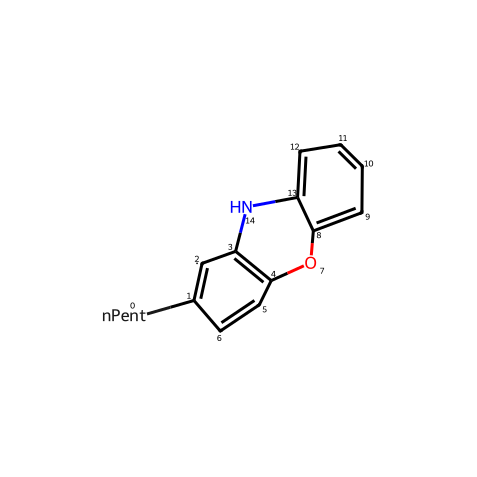 CCCCCc1[c]c2c(cc1)Oc1ccccc1N2